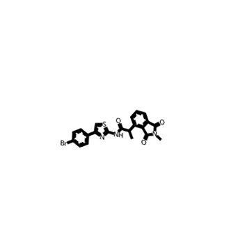 CC(C(=O)Nc1nc(-c2ccc(Br)cc2)cs1)c1cccc2c1C(=O)N(C)C2=O